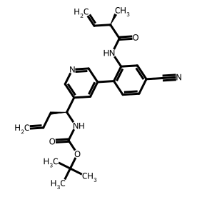 C=CC[C@H](NC(=O)OC(C)(C)C)c1cncc(-c2ccc(C#N)cc2NC(=O)[C@H](C)C=C)c1